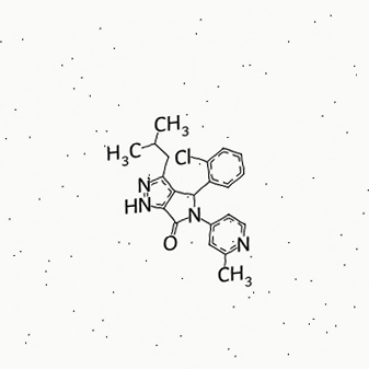 Cc1cc(N2C(=O)c3[nH]nc(CC(C)C)c3C2c2ccccc2Cl)ccn1